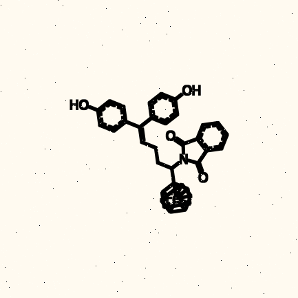 O=C1c2ccccc2C(=O)N1C(CCC=C(c1ccc(O)cc1)c1ccc(O)cc1)[C]12[CH]3[CH]4[CH]5[CH]1[Fe]45321678[CH]2[CH]1[CH]6[CH]7[CH]28